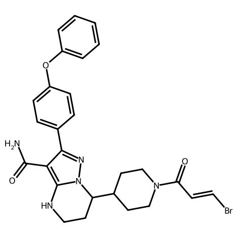 NC(=O)c1c(-c2ccc(Oc3ccccc3)cc2)nn2c1NCCC2C1CCN(C(=O)/C=C/Br)CC1